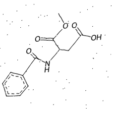 COC(=O)C(CC(=O)O)NC(=O)c1ccccc1